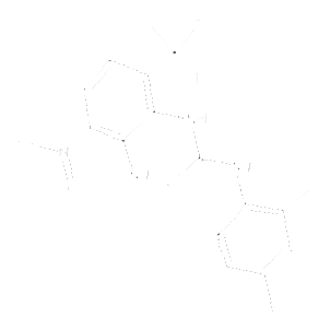 Cc1ccc(NC(=O)Nc2c(C(F)(F)F)ccc([N+](=O)[O-])c2N)c(C)c1